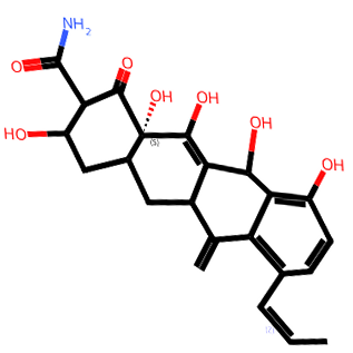 C=C1c2c(/C=C\C)ccc(O)c2C(O)C2=C(O)[C@]3(O)C(=O)C(C(N)=O)C(O)CC3CC12